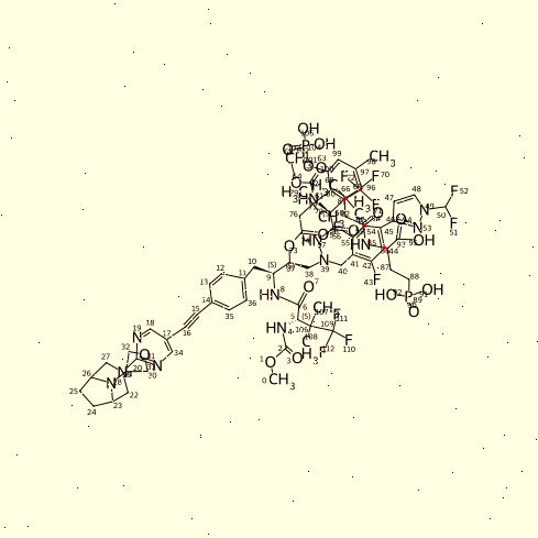 COC(=O)N[C@H](C(=O)N[C@@H](Cc1ccc(C#Cc2cnc(N3CC4CCC(C3)N4C3COC3)nc2)cc1)[C@H](CN(Cc1c(F)cc(-c2ccn(C(F)F)n2)cc1F)NC(=O)[C@@H](NC(=O)OC)C(C)(C)C(F)(F)F)OC(=O)CC(C)(C)c1c(CC(=O)NC(CCP(=O)(O)O)C(=O)O)cc(C)cc1OP(=O)(O)O)C(C)(C)C(F)(F)F